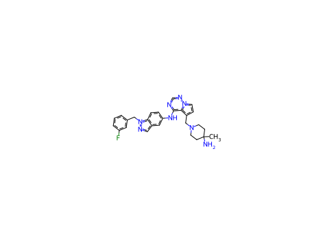 CC1(N)CCN(Cc2ccn3ncnc(Nc4ccc5c(cnn5Cc5cccc(F)c5)c4)c23)CC1